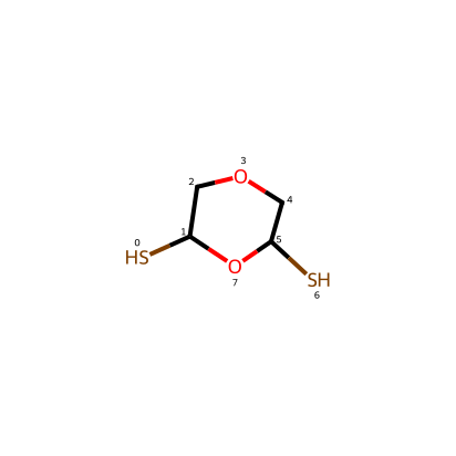 SC1COCC(S)O1